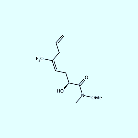 C=CC/C(=C\C[C@H](O)C(=O)N(C)OC)C(F)(F)F